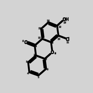 O=c1c2ccccc2oc2c(Cl)c(O)ccc12